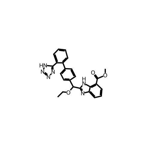 CCOC(c1ccc(-c2ccccc2-c2nnn[nH]2)cc1)c1nc2cccc(C(=O)OC)c2[nH]1